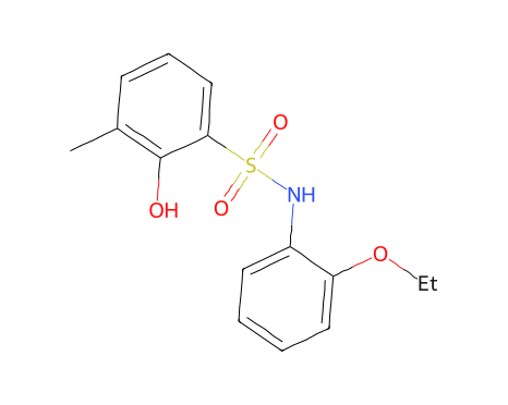 CCOc1ccccc1NS(=O)(=O)c1cccc(C)c1O